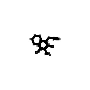 N#CCc1c(Cl)c(N)c(Cl)c2c1CCCC2